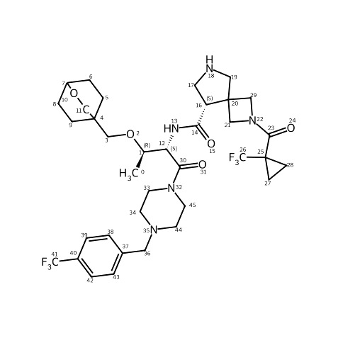 C[C@@H](OCC12CCC(CC1)OC2)[C@H](NC(=O)[C@@H]1CNCC12CN(C(=O)C1(C(F)(F)F)CC1)C2)C(=O)N1CCN(Cc2ccc(C(F)(F)F)cc2)CC1